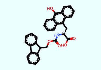 O=C(N[C@@H](Cc1c2ccccc2c(O)c2ccccc12)C(=O)O)OCC1c2ccccc2-c2ccccc21